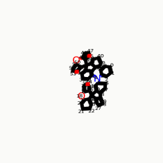 c1ccc(N(c2ccc3c(c2)C2(c4ccccc4Oc4ccccc42)c2ccccc2-3)c2cccc3c2-c2ccccc2C32c3ccccc3Oc3ccccc32)cc1